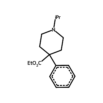 CCOC(=O)C1(c2ccccc2)CCN(C(C)C)CC1